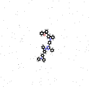 c1ccc(-c2cc(-c3ccc(-n4c5ccccc5c5cc(-c6cccc7c6oc6ccccc67)ccc54)cc3)nc(-n3c4ccccc4c4cc(-c5ccc6c(c5)c5ccccc5n6-c5ccccc5)ccc43)n2)cc1